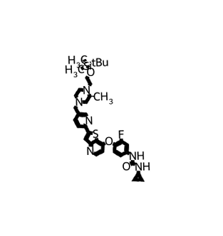 C[C@@H]1CN(Cc2ccc(-c3cc4nccc(Oc5ccc(NC(=O)NC6CC6)cc5F)c4s3)nc2)CCN1CCO[Si](C)(C)C(C)(C)C